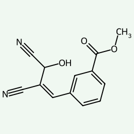 COC(=O)c1cccc(C=C(C#N)C(O)C#N)c1